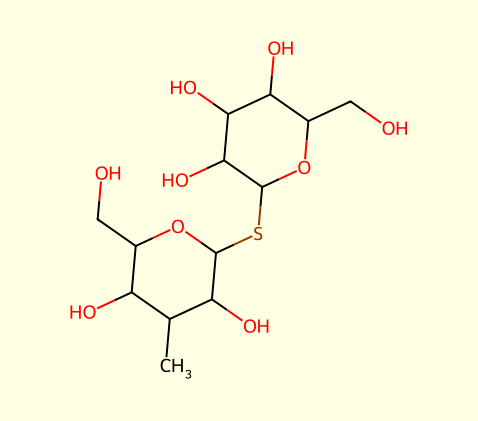 CC1C(O)C(CO)OC(SC2OC(CO)C(O)C(O)C2O)C1O